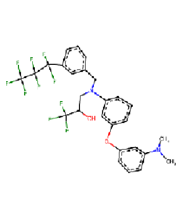 CN(C)c1cccc(Oc2cccc(N(Cc3cccc(C(F)(F)C(F)(F)C(F)(F)F)c3)CC(O)C(F)(F)F)c2)c1